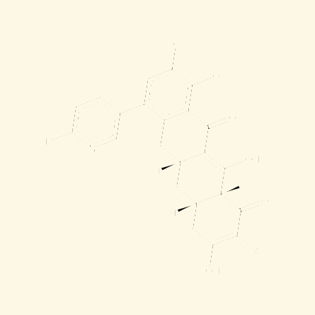 CC(=O)C1=C(O)C[C@@H]2C[C@@H]3Cc4c(-c5ccc(F)nc5)cc(C)c(O)c4C(=O)C3=C(O)[C@]2(O)C1=O